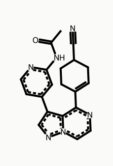 CC(=O)Nc1cc(-c2cnn3ccnc(C4=CCC(C#N)CC4)c23)ccn1